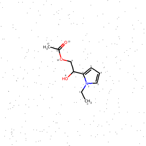 CCn1cccc1C(O)COC(C)=O